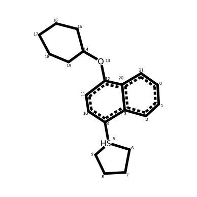 c1ccc2c([SH]3CCCC3)ccc(OC3CCCCC3)c2c1